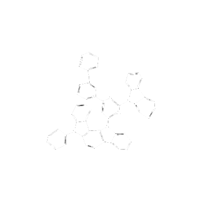 c1ccc(-c2cccc(-c3cc(-n4c5ccccc5c5ccc6c(c7ccccc7n6-c6ccccc6)c54)nc(-n4c5ccccc5c5ccccc54)n3)c2)cc1